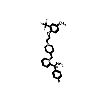 Cc1ccc(OCCN2CCC(CN3CC=CC=C3[C@@H](N)c3ccc(F)cc3)CC2)c(C(F)(F)F)c1